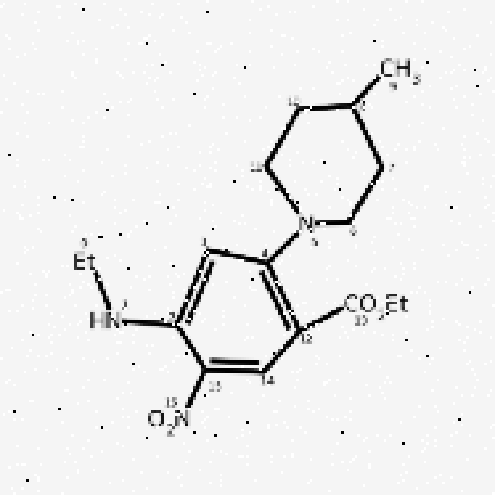 CCNc1cc(N2CCC(C)CC2)c(C(=O)OCC)cc1[N+](=O)[O-]